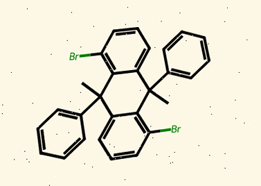 CC1(c2ccccc2)c2cccc(Br)c2C(C)(c2ccccc2)c2cccc(Br)c21